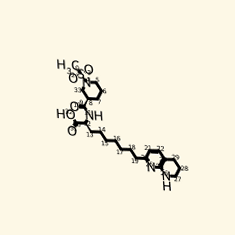 CS(=O)(=O)N1CCC[C@@H](C(=O)N[C@@H](CCCCCCCc2ccc3c(n2)NCCC3)C(=O)O)C1